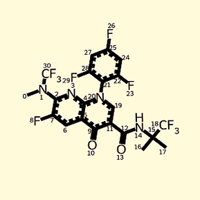 CN(c1nc2c(cc1F)c(=O)c(C(=O)NC(C)(C)C(F)(F)F)cn2-c1c(F)cc(F)cc1F)C(F)(F)F